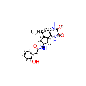 O=C(Cc1ccccc1O)NC1Cc2c([N+](=O)[O-])cc3[nH]c(=O)c(=O)[nH]c3c2C1